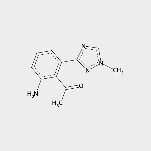 CC(=O)c1c(N)cccc1-c1ncn(C)n1